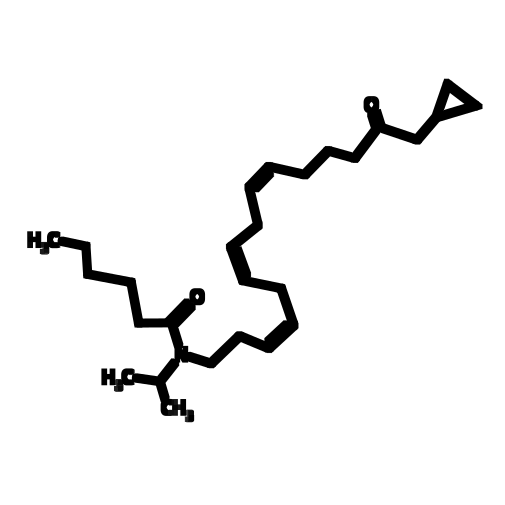 CCCCCC(=O)N(CC/C=C\C/C=C\C/C=C\CCCC(=O)CC1CC1)C(C)C